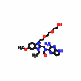 CCn1c(CN(C=O)c2nc3cc[nH]c3nc2N)[n+](CCOCCOCCO)c2ccc(OC)cc21